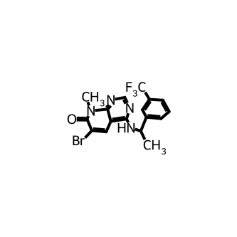 CC(Nc1ncnc2c1cc(Br)c(=O)n2C)c1cccc(C(F)(F)F)c1